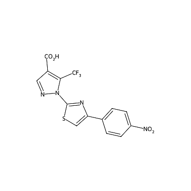 O=C(O)c1cnn(-c2nc(-c3ccc([N+](=O)[O-])cc3)cs2)c1C(F)(F)F